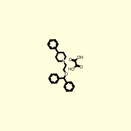 O=C(O)C(=O)O.c1ccc(C2CCN(CCOC(c3ccccc3)c3ccccc3)CC2)cc1